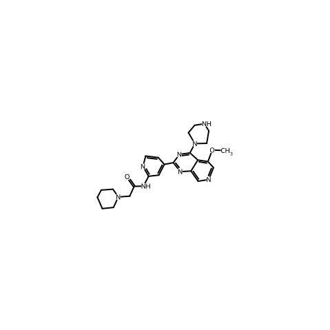 COc1cncc2nc(-c3ccnc(NC(=O)CN4CCCCC4)c3)nc(N3CCNCC3)c12